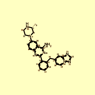 C[C@@H]1CN(c2ccc3nc(-c4ccccc4Cc4ccn5ncnc5c4)nc(N)c3c2)CCN1